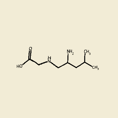 CC(C)CC(N)CNCC(=O)O